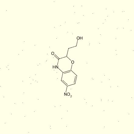 O=C1Nc2cc([N+](=O)[O-])ccc2OC1CCO